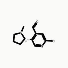 CN1CCC[C@H]1c1cnc(Cl)cc1C=O